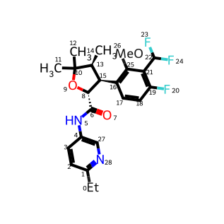 CCc1ccc(NC(=O)[C@@H]2OC(C)(C)[C@@H](C)[C@H]2c2ccc(F)c(C(F)F)c2OC)cn1